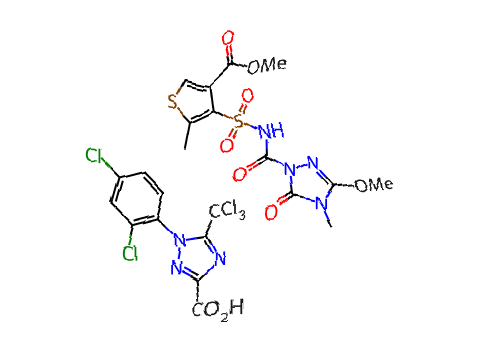 COC(=O)c1csc(C)c1S(=O)(=O)NC(=O)n1nc(OC)n(C)c1=O.O=C(O)c1nc(C(Cl)(Cl)Cl)n(-c2ccc(Cl)cc2Cl)n1